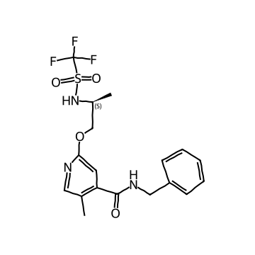 Cc1cnc(OC[C@H](C)NS(=O)(=O)C(F)(F)F)cc1C(=O)NCc1ccccc1